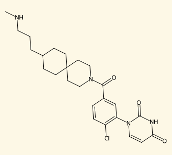 CNCCCC1CCC2(CC1)CCN(C(=O)c1ccc(Cl)c(-n3ccc(=O)[nH]c3=O)c1)CC2